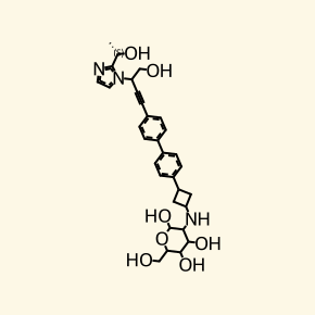 C[C@H](O)c1nccn1C(C#Cc1ccc(-c2ccc(C3CC(NC4C(O)OC(CO)C(O)C4O)C3)cc2)cc1)CO